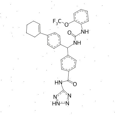 O=C(Nc1ccccc1OC(F)(F)F)NC(c1ccc(C(=O)Nc2nn[nH]n2)cc1)c1ccc(C2=CCCCC2)cc1